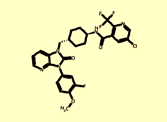 COc1ccc(-n2c(=O)n(C[C@H]3CC[C@H](NC(=O)c4cc(Cl)cnc4C(F)(F)F)CC3)c3cccnc32)cc1F